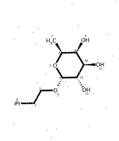 CC(C)CCO[C@@H]1O[C@@H](C)[C@@H](O)[C@@H](O)[C@@H]1O